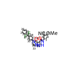 COc1ccc(NC(=O)c2cnn3c2C(=O)N(c2ccc(C(F)(F)c4ccccc4)cc2)C[C@H]3C)cc1C#N